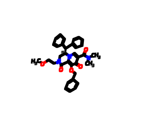 COCCN1C[C@H](C(c2ccccc2)c2ccccc2)n2cc(C(=O)N(C)C)c(=O)c(OCc3ccccc3)c2C1=O